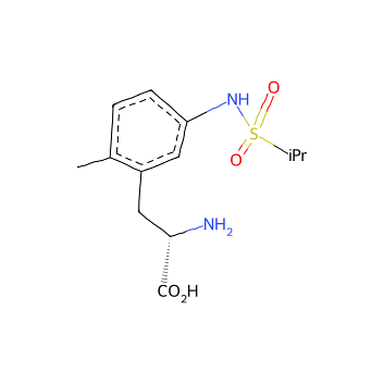 Cc1ccc(NS(=O)(=O)C(C)C)cc1C[C@H](N)C(=O)O